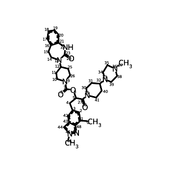 Cc1cc(CC(OC(=O)N2CCC(N3CCc4ccccc4NC3=O)CC2)C(=O)N2CCC(N3CCN(C)CC3)CC2)cc2cn(C)nc12